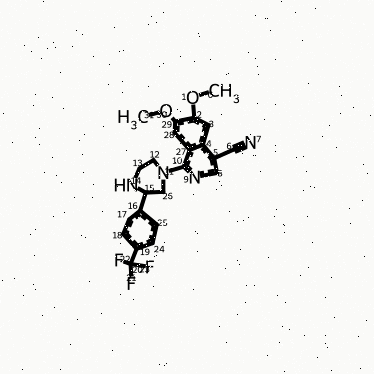 COc1cc2c(C#N)cnc(N3CCNC(c4ccc(C(F)(F)F)cc4)C3)c2cc1OC